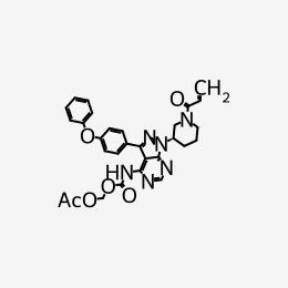 C=CC(=O)N1CCC[C@@H](n2nc(-c3ccc(Oc4ccccc4)cc3)c3c(NC(=O)OCOC(C)=O)ncnc32)C1